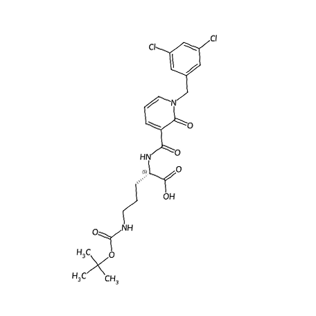 CC(C)(C)OC(=O)NCCC[C@H](NC(=O)c1cccn(Cc2cc(Cl)cc(Cl)c2)c1=O)C(=O)O